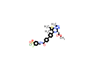 COC(=O)C[C@@H]1N=C(c2ccc(-c3ccc(C(=O)NCc4ccc(S(=O)(=O)Cl)c(F)c4)cc3)cc2)c2c(sc(C)c2C)-n2c(C)nnc21